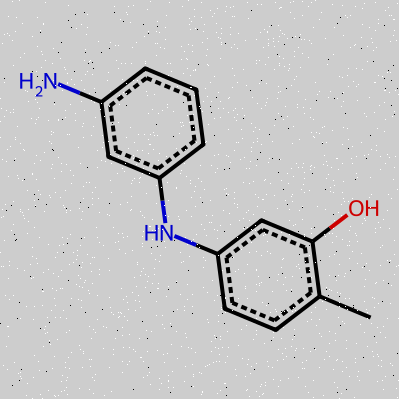 Cc1ccc(Nc2cccc(N)c2)cc1O